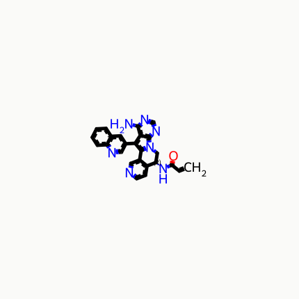 C=CC(=O)N[C@H]1Cn2c(c(-c3cnc4ccccc4c3)c3c(N)ncnc32)-c2cnccc21